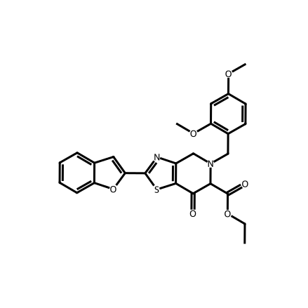 CCOC(=O)C1C(=O)c2sc(-c3cc4ccccc4o3)nc2CN1Cc1ccc(OC)cc1OC